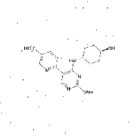 CSc1ncc(-c2ccc(C(=O)O)cn2)c(N[C@H]2CC[C@H](O)CC2)n1